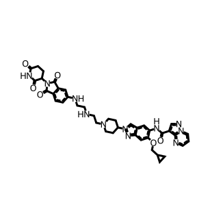 O=C1CCC(N2C(=O)c3ccc(NCCNCCN4CCC(n5cc6cc(NC(=O)c7cnn8cccnc78)c(OCC7CC7)cc6n5)CC4)cc3C2=O)C(=O)N1